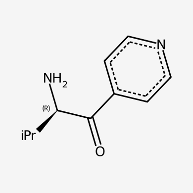 CC(C)[C@@H](N)C(=O)c1ccncc1